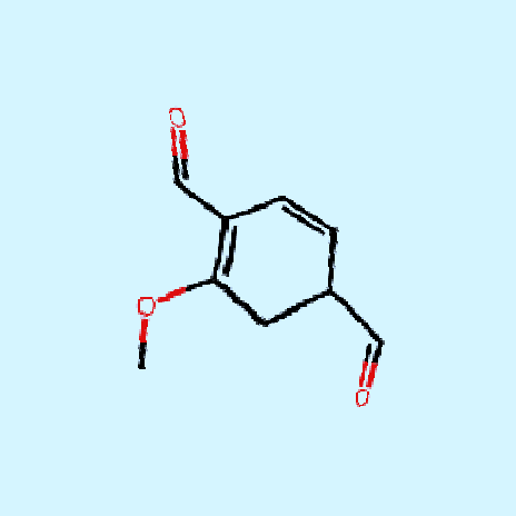 COC1=C(C=O)C=CC(C=O)C1